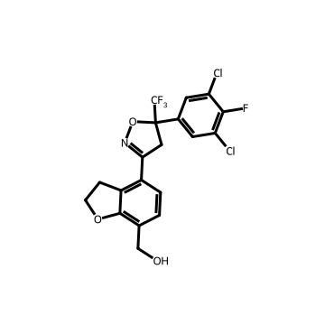 OCc1ccc(C2=NOC(c3cc(Cl)c(F)c(Cl)c3)(C(F)(F)F)C2)c2c1OCC2